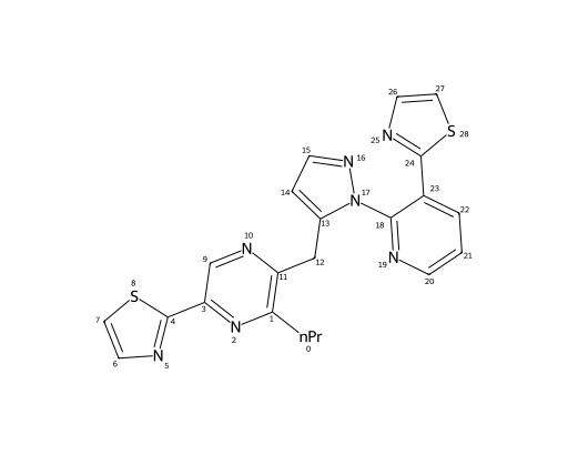 CCCc1nc(-c2nccs2)cnc1Cc1ccnn1-c1ncccc1-c1nccs1